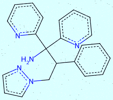 NC(c1ccccn1)(c1ccccn1)C(Cn1cccn1)c1ccccc1